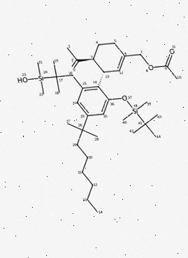 C=C(C)[C@H]1CCC(COC(C)=O)=C[C@@H]1c1c(CC(C)(C)[Si](C)(C)O)cc(C(C)(C)CCCCCC)cc1O[Si](C)(C)C(C)(C)C